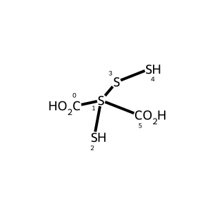 O=C(O)S(S)(SS)C(=O)O